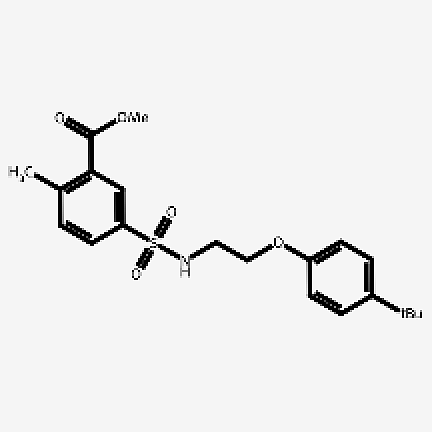 COC(=O)c1cc(S(=O)(=O)NCCOc2ccc(C(C)(C)C)cc2)ccc1C